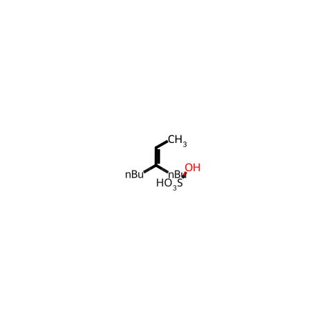 CC=C(CCCC)CCCC.O=S(=O)(O)O